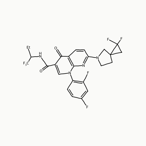 CCC(NC(=O)c1cn(-c2ccc(F)cc2F)c2nc(N3CCC4(C3)CC4(F)F)ccc2c1=O)C(F)(F)F